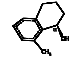 Cc1cccc2c1[C@H](O)CCC2